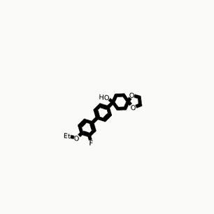 CCOc1ccc(-c2ccc(C3(O)CCC4(CC3)OCCO4)cc2)cc1F